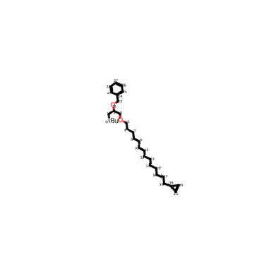 CC(C)(C)CC(COCCCCCCCCCCCCCCC1CC1)OCc1ccccc1